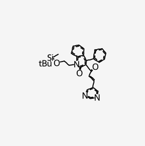 CC(C)(C)[Si](C)(C)OCCn1c(=O)c(C(=O)/C=C/c2cncnc2)c(-c2ccccc2)c2ccccc21